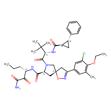 CCC[C@H](NC(=O)[C@@H]1C[C@]2(CC(c3cc(C)c(OCC)c(Cl)c3)=NO2)CN1C(=O)[C@@H](NC(=O)[C@@H]1C[C@H]1c1ccccc1)C(C)(C)C)C(=O)C(N)=O